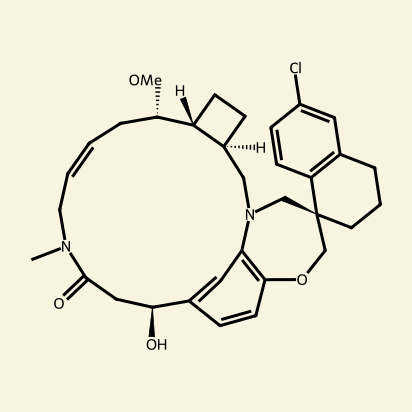 CO[C@H]1C/C=C\CN(C)C(=O)C[C@H](O)c2ccc3c(c2)N(C[C@@H]2CC[C@H]21)C[C@@]1(CCCc2cc(Cl)ccc21)CO3